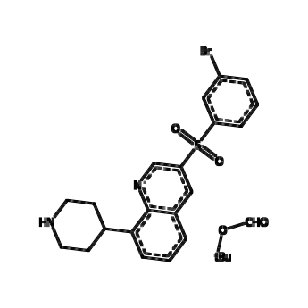 CC(C)(C)OC=O.O=S(=O)(c1cccc(Br)c1)c1cnc2c(C3CCNCC3)cccc2c1